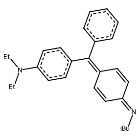 CCC(C)N=C1C=CC(=C(c2ccccc2)c2ccc(N(CC)CC)cc2)C=C1